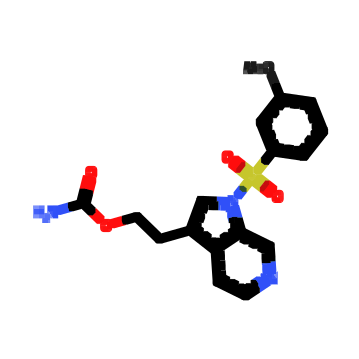 COc1cccc(S(=O)(=O)n2cc(CCOC(N)=O)c3ccncc32)c1